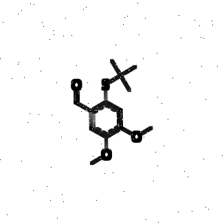 COc1cc(C=O)c(SC(C)(C)C)cc1OC